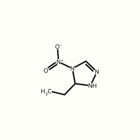 CCC1NN=CN1[N+](=O)[O-]